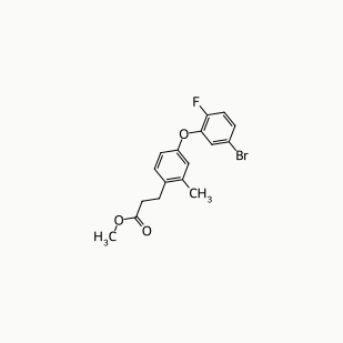 COC(=O)CCc1ccc(Oc2cc(Br)ccc2F)cc1C